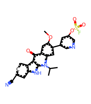 COc1cc2c(=O)c3c4ccc(C#N)cc4[nH]c3n(C(C)C)c2cc1-c1cncc(OS(=O)(=O)F)c1